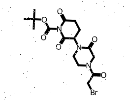 CC(C)(C)OC(=O)N1C(=O)CCC(N2CCN(C(=O)CBr)CC2=O)C1=O